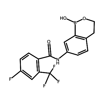 O=C(Nc1ccc2c(c1)B(O)OCC2)c1ccc(F)cc1C(F)(F)F